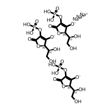 O=C1O[C@H]([C@@H](O)CO)C([O-])=C1OP(=O)(O)O.O=C1O[C@H]([C@@H](O)CO)C([O-])=C1OP(=O)(O)O.O=C1O[C@H]([C@@H](O)CO)C([O-])=C1OP(=O)(O)O.[Na+].[Na+].[Na+]